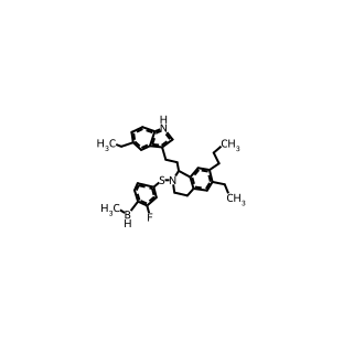 CBc1ccc(SN2CCc3cc(CC)c(CCC)cc3C2CCc2c[nH]c3ccc(CC)cc23)cc1F